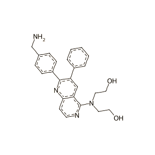 NCc1ccc(-c2nc3ccnc(N(CCO)CCO)c3cc2-c2ccccc2)cc1